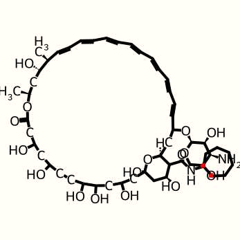 C[C@H]1C[C@H](O)[C@@H](C)/C=C/C=C/C=C/C=C/C=C/C=C/C=C/C(O[C@@H]2OC[C@@H](O)[C@H](N)[C@@H]2O)C[C@@H]2OC(O)(CC(O)CC(O)C(O)CCC(O)CC(O)CC(=O)O1)C[C@H](O)C2C(=O)NC1CCCCCC1